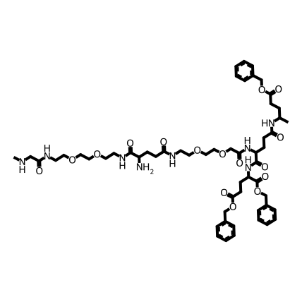 CNCC(=O)NCCOCCOCCNC(=O)C(N)CCC(=O)NCCOCCOCC(=O)NC(CCC(=O)NC(C)CCC(=O)OCc1ccccc1)C(=O)NC(CCC(=O)OCc1ccccc1)C(=O)OCc1ccccc1